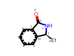 CC[C@@H]1NC(=O)c2ccccc21